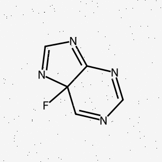 FC12C=NC=NC1=NC=N2